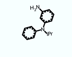 CC(C)N(c1ccccc1)c1cccc(N)c1